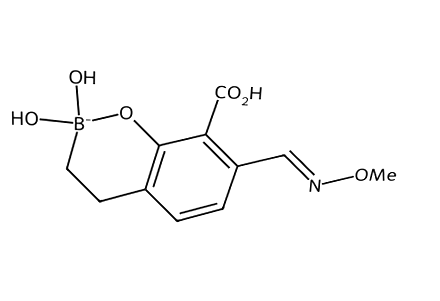 CON=Cc1ccc2c(c1C(=O)O)O[B-](O)(O)CC2